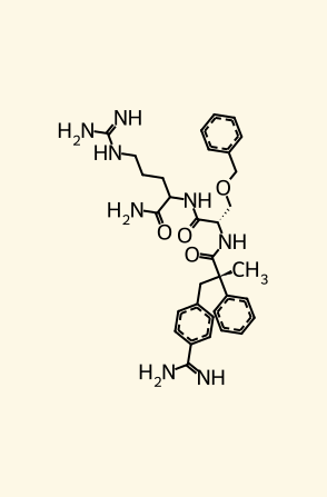 C[C@@](Cc1ccc(C(=N)N)cc1)(C(=O)N[C@@H](COCc1ccccc1)C(=O)NC(CCCNC(=N)N)C(N)=O)c1ccccc1